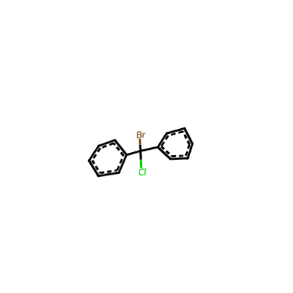 ClC(Br)(c1ccccc1)c1ccccc1